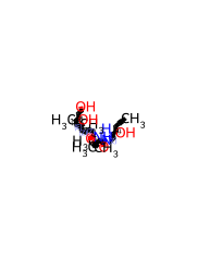 CC#CC[C@H](O)C/C=C\NC(=O)[C@@H](NC(=O)\C=C/C=C\C(C)=C\[C@H](C)[C@@H](O)CCO)C(C)(C)C